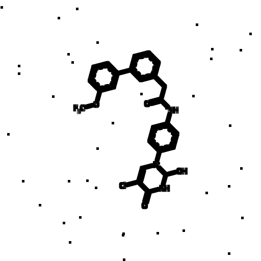 O=C(Cc1cccc(-c2cccc(OC(F)(F)F)c2)c1)Nc1ccc(N2C=C(Cl)C(=O)NC2O)cc1